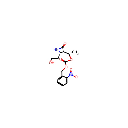 C[C@H](OC(=O)OCc1ccccc1[N+](=O)[O-])[C@H]1C(=O)N[C@@H]1CCO